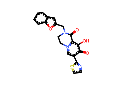 O=C1c2c(O)c(=O)c(-c3nccs3)cn2CCN1Cc1cc2ccccc2o1